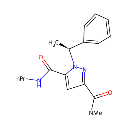 CCCNC(=O)c1cc(C(=O)NC)nn1[C@@H](C)c1ccccc1